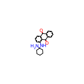 NC1(Nc2cccc3c2C(=O)c2ccccc2C3=O)CCCCC1